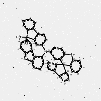 CC1(C)c2ccccc2-c2ccc(N(c3ccc4c(c3)C3(c5ccccc5S4)c4ccccc4-c4ccccc43)c3cccc4sc5ccccc5c34)cc21